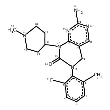 Cc1cccc(F)c1N1Cc2cnc(N)nc2N(C2CCN(C)CC2)C1=O